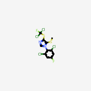 CSc1c(SC(F)(Cl)Cl)ncn1-c1c(Cl)cc(F)cc1Cl